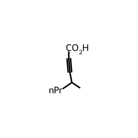 CCCC(C)C#CC(=O)O